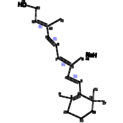 CC1=C(/C=C/C(C)=C/C=C/C(C)=C/CO)C(C)(C)CCC1.[NaH]